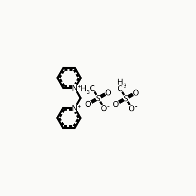 CS(=O)(=O)[O-].CS(=O)(=O)[O-].c1cc[n+](C[n+]2ccccc2)cc1